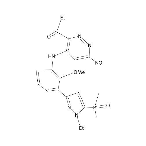 CCC(=O)c1nnc(N=O)cc1Nc1cccc(-c2cc(P(C)(C)=O)n(CC)n2)c1OC